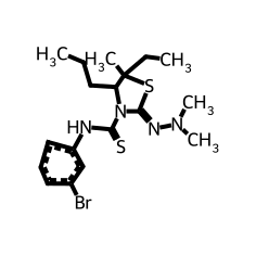 CCCC1N(C(=S)Nc2cccc(Br)c2)C(=NN(C)C)SC1(C)CC